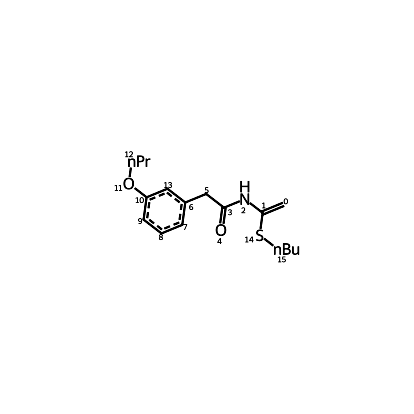 C=C(NC(=O)Cc1cccc(OCCC)c1)SCCCC